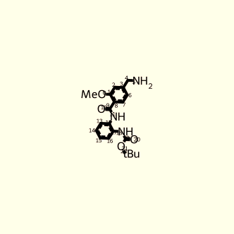 COc1cc(CN)ccc1C(=O)Nc1ccccc1NC(=O)OC(C)(C)C